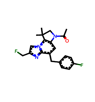 CC(=O)N1CC(C)(C)c2c1cc(Cc1ccc(F)cc1)c1nc(CF)cn21